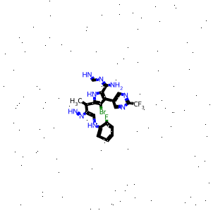 CC(/C(=C/Nc1ccccc1F)N=N)c1[nH]c(/C(N)=N\C=N)c(-c2cnc(C(F)(F)F)nc2)c1Br